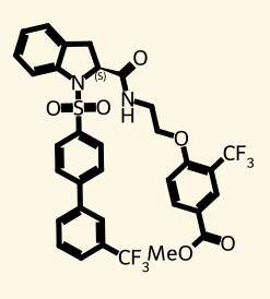 COC(=O)c1ccc(OCCNC(=O)[C@@H]2Cc3ccccc3N2S(=O)(=O)c2ccc(-c3cccc(C(F)(F)F)c3)cc2)c(C(F)(F)F)c1